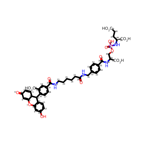 O=C1C=CC2C(=C1)Oc1cc(O)ccc1C2c1ccc(C(=O)NCCCCCC(=O)NCc2ccc(C(=O)NC(COP(=O)(O)N[C@@H](CCC(=O)O)C(=O)O)C(=O)O)cc2)cc1C(=O)O